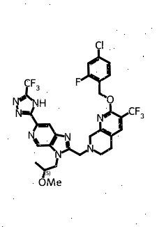 CO[C@@H](C)Cn1c(CN2CCc3cc(C(F)(F)F)c(OCc4ccc(Cl)cc4F)nc3C2)nc2cc(-c3nnc(C(F)(F)F)[nH]3)ncc21